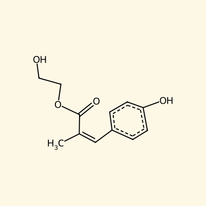 CC(=Cc1ccc(O)cc1)C(=O)OCCO